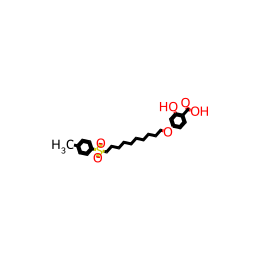 Cc1ccc(S(=O)(=O)CCCCCCCCCCOc2ccc(C(=O)O)c(O)c2)cc1